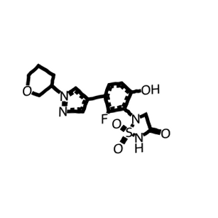 O=C1CN(c2c(O)ccc(-c3cnn(C4CCCOC4)c3)c2F)S(=O)(=O)N1